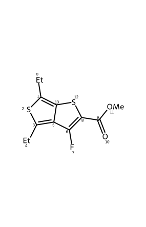 CCc1sc(CC)c2c(F)c(C(=O)OC)sc12